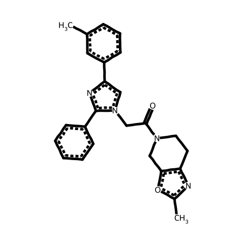 Cc1cccc(-c2cn(CC(=O)N3CCc4nc(C)oc4C3)c(-c3ccccc3)n2)c1